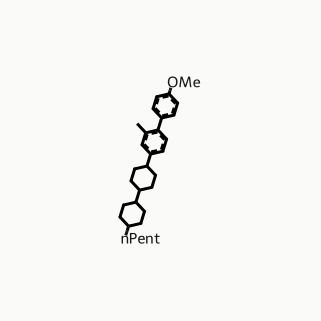 CCCCCC1CCC(C2CCC(c3ccc(-c4ccc(OC)cc4)c(C)c3)CC2)CC1